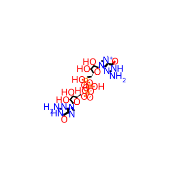 C[n+]1cn([C@@H]2O[C@H](CCP(=O)(O)OP(=O)(O)OP(=O)(O)OC[C@H]3O[C@@H](n4cnc5c(=O)[nH]c(N)nc54)[C@@H](O)C3O)C(O)[C@@H]2O)c2nc(N)[nH]c(=O)c21